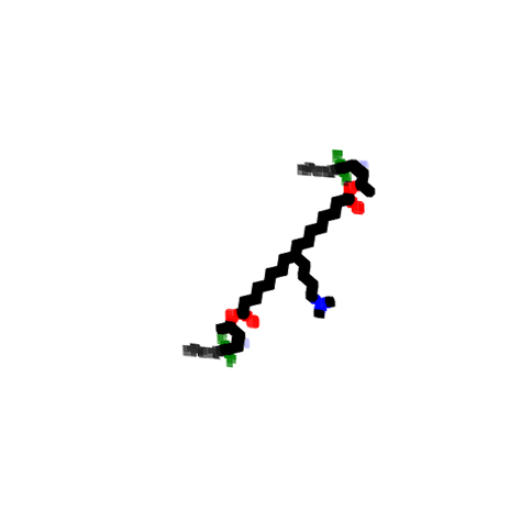 CCCCCC(F)(F)/C=C\C(C)OC(=O)CCCCCCCC(CCCCCCCC(=O)OC(C)/C=C\C(F)(F)CCCCC)CCCCN(C)C